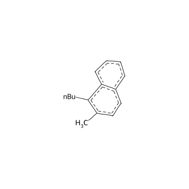 CCCCc1c(C)ccc2ccccc12